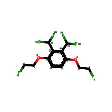 FCCOc1ccc(OCCF)c(C(F)F)c1C(F)F